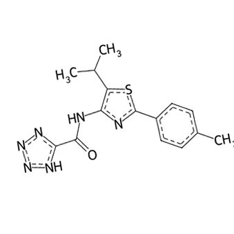 Cc1ccc(-c2nc(NC(=O)c3nnn[nH]3)c(C(C)C)s2)cc1